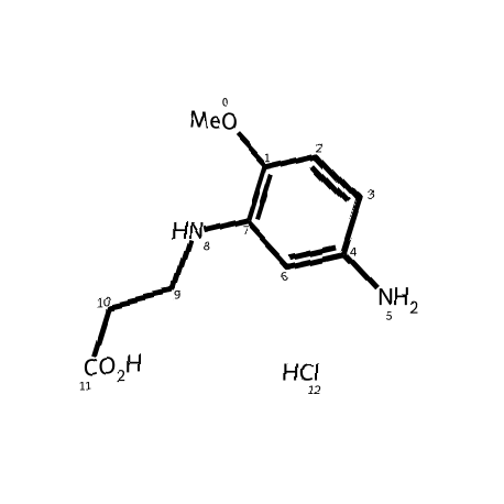 COc1ccc(N)cc1NCCC(=O)O.Cl